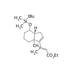 CCOC(=O)/C=C(\C)C1=CC[C@H]2C(O[Si](C)(C)C(C)(C)C)CCCC12C